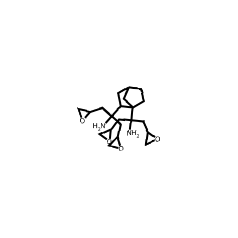 NC(CC1CO1)(CC1CO1)C1CC2CCC1(C(N)(CC1CO1)CC1CO1)C2